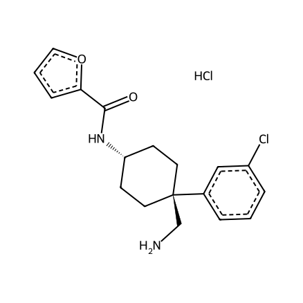 Cl.NC[C@]1(c2cccc(Cl)c2)CC[C@@H](NC(=O)c2ccco2)CC1